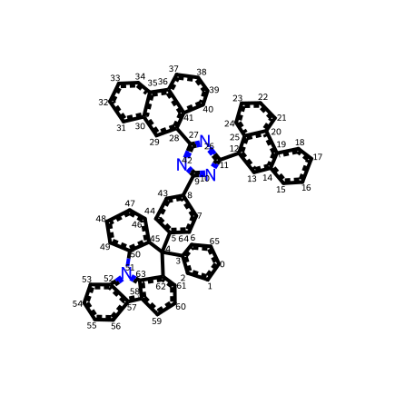 c1ccc(C2(c3ccc(-c4nc(-c5cc6ccccc6c6ccccc56)nc(-c5cc6ccccc6c6ccccc56)n4)cc3)c3ccccc3-n3c4ccccc4c4cccc2c43)cc1